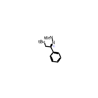 CN/N=C(\CC(C)(C)C)c1ccccc1